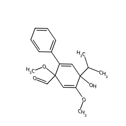 COC1=CC(C=O)(OC)C(c2ccccc2)=CC1(O)C(C)C